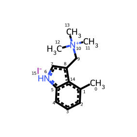 Cc1cccc2[nH]cc(C[N+](C)(C)C)c12.[I-]